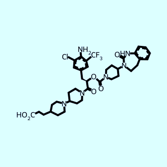 Nc1c(Cl)cc(C[C@@H](OC(=O)N2CCC(N3CCc4ccccc4NC3=O)CC2)C(=O)N2CCC(N3CCC(CCC(=O)O)CC3)CC2)cc1C(F)(F)F